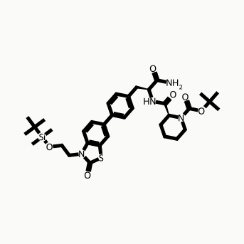 CC(C)(C)OC(=O)N1CCCC[C@H]1C(=O)N[C@@H](Cc1ccc(-c2ccc3c(c2)sc(=O)n3CCO[Si](C)(C)C(C)(C)C)cc1)C(N)=O